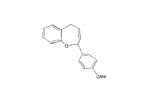 COc1ccc(C2C=CCc3ccccc3O2)cc1